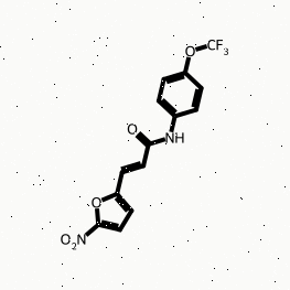 O=C(/C=C/c1ccc([N+](=O)[O-])o1)Nc1ccc(OC(F)(F)F)cc1